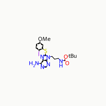 COc1ccc(I)c(Sc2nc3c(N)ncnc3n2CCCNC(=O)OC(C)(C)C)c1